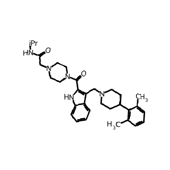 Cc1cccc(C)c1C1CCN(Cc2c(C(=O)N3CCN(CC(=O)NC(C)C)CC3)[nH]c3ccccc23)CC1